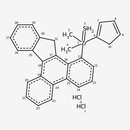 Cl.Cl.[CH3][Zr]([CH3])(=[SiH2])([C]1=CC=CC1)[c]1cccc2c1c1c(c3ccccc32)-c2ccccc2C1